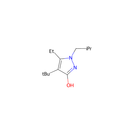 CCc1c(C(C)(C)C)c(O)nn1CC(C)C